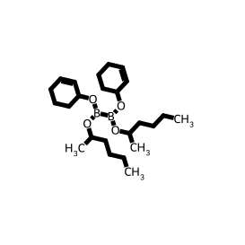 CCCCC(C)OB(OC1C=CCCC1)B(OC(C)CCCC)OC1C=CCCC1